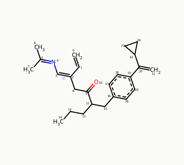 C=C/C(=C\N=C(C)C)CC(=O)C(CCC)Cc1ccc(C(=C)C2CC2)cc1